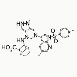 Cc1ccc(S(=O)(=O)n2cc(N3C=C4C(=CNN4C)N(NC4C5CCC(CC5)C4C(=O)O)C3)c3cc(F)cnc32)cc1